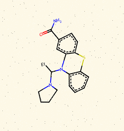 CCC(N1CCCC1)N1c2ccccc2Sc2ccc(C(N)=O)cc21